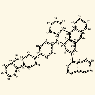 c1cc(-c2cccc3ccccc23)cc(N(c2ccc(-c3ccc4c(c3)sc3ccccc34)cc2)c2ccccc2-c2cccc3ccccc23)c1